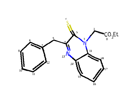 CCOC(=O)Cn1c(=S)c(Cc2ccccc2)nc2ccccc21